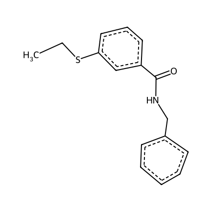 CCSc1cccc(C(=O)NCc2ccccc2)c1